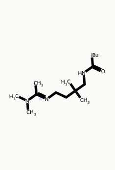 CCC(C)C(=O)NCC(C)(C)CC/N=C(\C)N(C)C